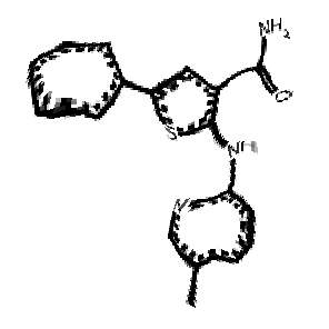 Cc1ccc(Nc2sc(-c3ccccc3)cc2C(N)=O)nc1